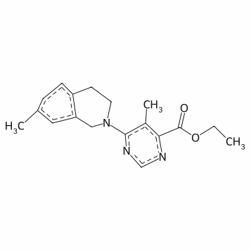 CCOC(=O)c1ncnc(N2CCc3ccc(C)cc3C2)c1C